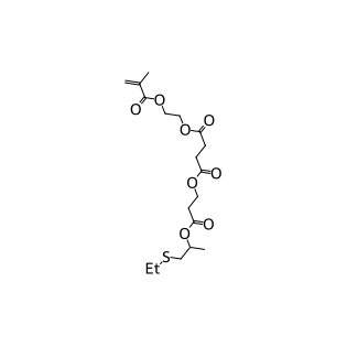 C=C(C)C(=O)OCCOC(=O)CCC(=O)OCCC(=O)OC(C)CSCC